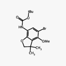 COc1c(Br)cc(NC(=O)OC(C)(C)C)c2c1C(C)(C)CO2